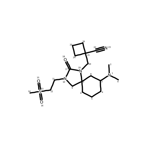 CN(C)C1CCCC2(C1)CN(CCS(C)(=O)=O)C(=O)N2CC1(C#N)CCC1